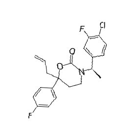 C=CCC1(c2ccc(F)cc2)CCN([C@H](C)c2ccc(Cl)c(F)c2)C(=O)O1